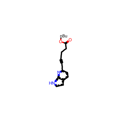 CCCCOC(=O)CCC#Cc1ccc2cc[nH]c2n1